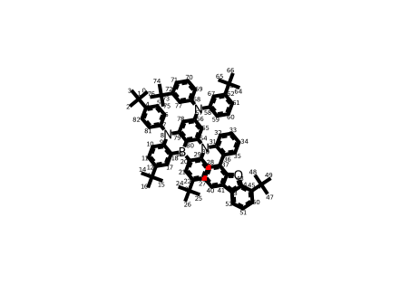 CC(C)(C)c1ccc(N2c3ccc(C(C)(C)C)cc3B3c4cc(C(C)(C)C)ccc4N(c4ccccc4-c4cccc5c4oc4c(C(C)(C)C)cccc45)c4cc(N(c5cccc(C(C)(C)C)c5)c5cccc(C(C)(C)C)c5)cc2c43)cc1